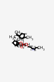 CC(=O)OC1CC2CCC1(C)C2(C)C.CC/C=C\CCO.CC1=CCC(=C(C)C)CC1